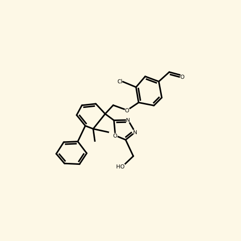 CC1(C)C(c2ccccc2)=CC=CC1(COc1ccc(C=O)cc1Cl)c1nnc(CO)o1